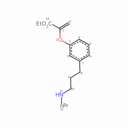 C=C(Oc1cccc(CCCNCCC)c1)C(=O)OCC